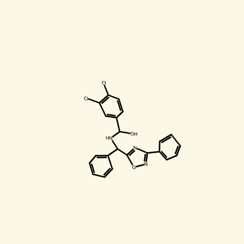 OC(NC(c1ccccc1)c1nc(-c2ccccc2)no1)c1ccc(Cl)c(Cl)c1